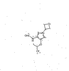 CC(Oc1nn(C2COC2)cc1NC=O)C(F)(F)F